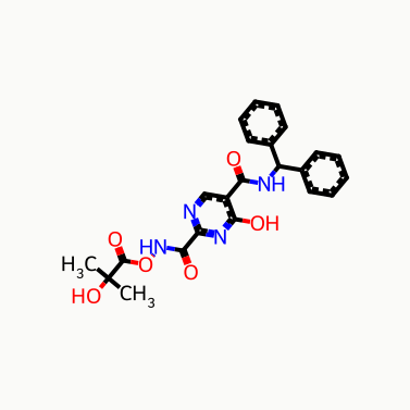 CC(C)(O)C(=O)ONC(=O)c1ncc(C(=O)NC(c2ccccc2)c2ccccc2)c(O)n1